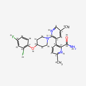 Cc1ccc(-c2cc(C#N)cnc2N2CCC(Oc3ccc(F)cc3F)CC2)c(C(N)=O)n1